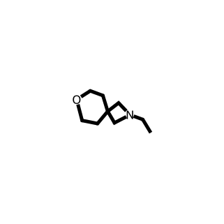 CCN1CC2(CCOCC2)C1